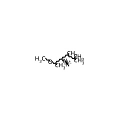 CCCCOCCC(C)CCCC(CCCC(C)CCCC(C)C)CN=[N+]=[N-]